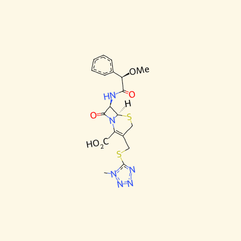 CO[C@@H](C(=O)N[C@@H]1C(=O)N2C(C(=O)O)=C(CSc3nnnn3C)CS[C@H]12)c1ccccc1